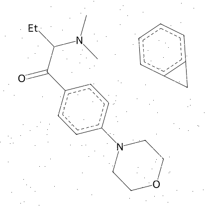 CCC(C(=O)c1ccc(N2CCOCC2)cc1)N(C)C.c1ccc2c(c1)C2